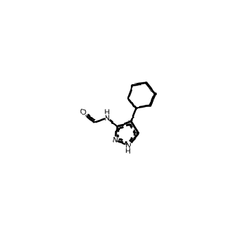 O=CNc1n[nH]cc1C1CCCCC1